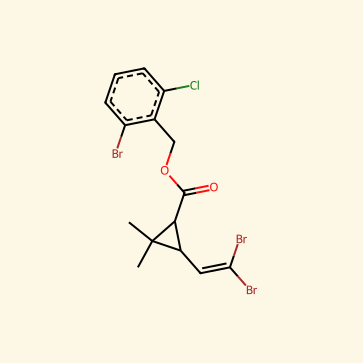 CC1(C)C(C=C(Br)Br)C1C(=O)OCc1c(Cl)cccc1Br